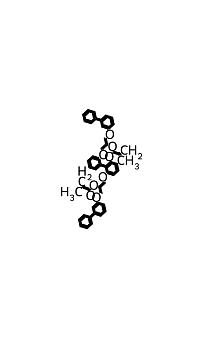 C=C(C)C(=O)OC(COc1cccc(-c2ccccc2)c1)COc1ccccc1-c1ccccc1OCC(COc1cccc(-c2ccccc2)c1)OC(=O)C(=C)C